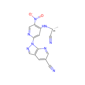 C[C@H](C#N)Nc1cc(-n2ncc3cc(C#N)cnc32)ncc1[N+](=O)[O-]